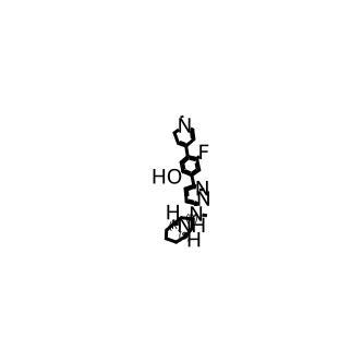 CN1C=CC(c2cc(O)c(-c3ccc(N(C)[C@H]4C[C@H]5CCC[C@@H](C4)N5)nn3)cc2F)=CC1